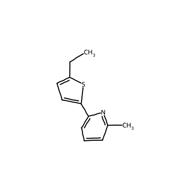 CCc1ccc(-c2cccc(C)n2)s1